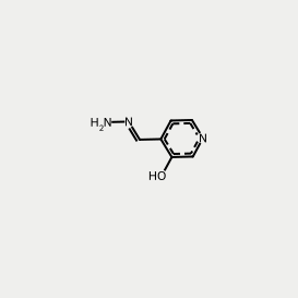 NN=Cc1ccncc1O